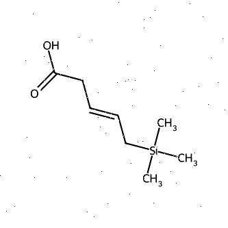 C[Si](C)(C)CC=CCC(=O)O